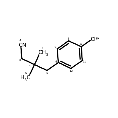 CC(C)(CC#N)Cc1ccc(Cl)cc1